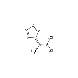 CC([C](Cl)Cl)=C1C=CC=C1